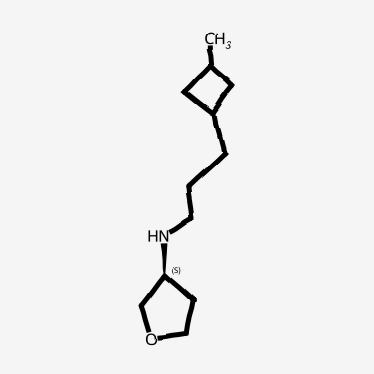 CC1CC(CCCN[C@H]2CCOC2)C1